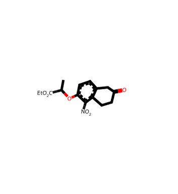 CCOC(=O)C(C)Oc1ccc2c(c1[N+](=O)[O-])CCC(=O)C2